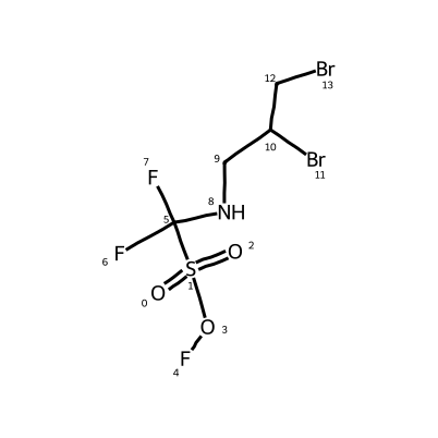 O=S(=O)(OF)C(F)(F)NCC(Br)CBr